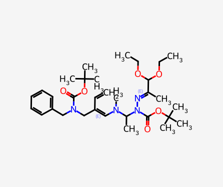 C=C/C(=C\N(C)C(C)N(/N=C(\C)C(OCC)OCC)C(=O)OC(C)(C)C)CN(Cc1ccccc1)C(=O)OC(C)(C)C